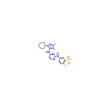 Cc1nn(C2CCCCC2)c(Nc2ccnc(Nc3ccc(F)c(S(C)(=O)=O)c3)n2)c1C